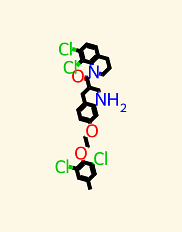 Cc1cc(Cl)c(OCCOc2ccc(CC(CN)C(=O)N3CCCc4ccc(Cl)c(Cl)c43)cc2)c(Cl)c1